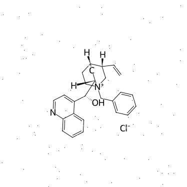 C=C[C@@H]1C[N+]2(Cc3ccccc3)CC[C@H]1C[C@H]2[C@H](O)c1ccnc2ccccc12.[Cl-]